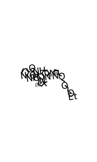 CCOCCOCCOc1ccn(-c2ccc(C(=O)NS(=O)(=O)c3cccnc3N)c(N3C[C@@H](C)CC3(C)C)n2)n1